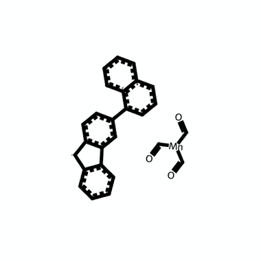 O=[CH][Mn]([CH]=O)[CH]=O.[CH]1c2ccccc2-c2cc(-c3cccc4ccccc34)ccc21